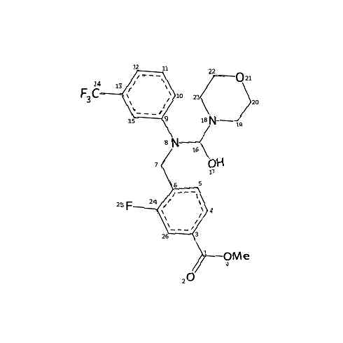 COC(=O)c1ccc(CN(c2cccc(C(F)(F)F)c2)C(O)N2CCOCC2)c(F)c1